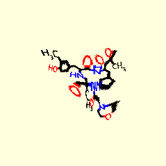 Cc1cc(CC(NCC(C)(C=O)NC(=O)CN2CCOCC2)C(=O)NC(CC2=CCCC2)C(=O)C2(C)CO2)ccc1O